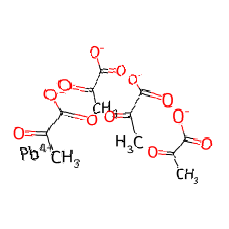 CC(=O)C(=O)[O-].CC(=O)C(=O)[O-].CC(=O)C(=O)[O-].CC(=O)C(=O)[O-].[Pb+4]